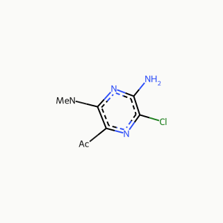 CNc1nc(N)c(Cl)nc1C(C)=O